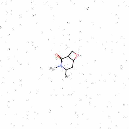 CC(C)C1CC2OCC2C(=O)N1C